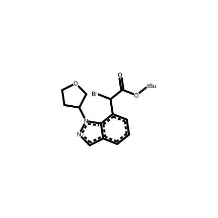 CC(C)(C)OC(=O)C(Br)c1cccc2cnn(C3CCOC3)c12